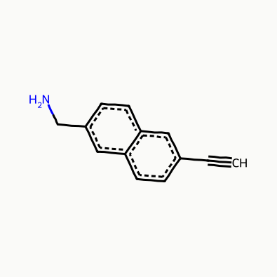 C#Cc1ccc2cc(CN)ccc2c1